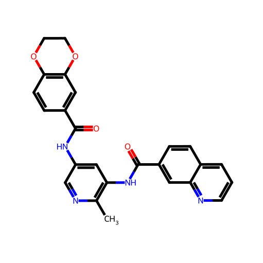 Cc1ncc(NC(=O)c2ccc3c(c2)OCCO3)cc1NC(=O)c1ccc2cccnc2c1